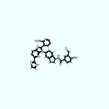 Nc1ncccc1-c1nc2ccc(-c3ncco3)nc2n1-c1ccc2c(c1)CC[C@@H]2NC(=O)c1ccc(O)c(C=O)c1